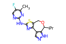 Cc1nc(Nc2nc3c(s2)COC(C(C)C)c2[nH]ncc2-3)ncc1F